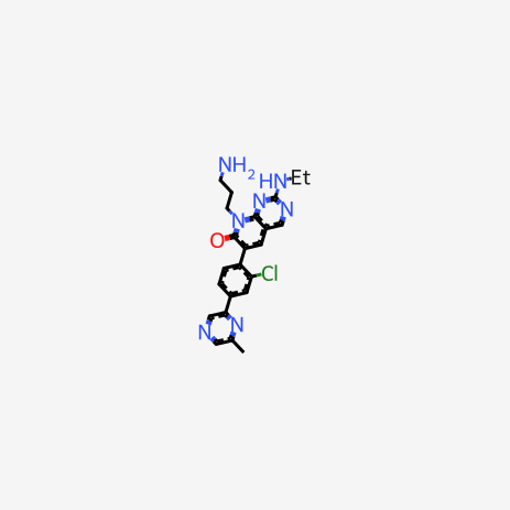 CCNc1ncc2cc(-c3ccc(-c4cncc(C)n4)cc3Cl)c(=O)n(CCCN)c2n1